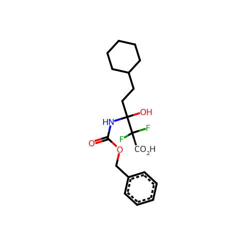 O=C(NC(O)(CCC1CCCCC1)C(F)(F)C(=O)O)OCc1ccccc1